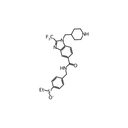 CC[S+]([O-])c1ccc(CNC(=O)c2ccc3c(c2)nc(C(F)(F)F)n3CC2CCNCC2)cc1